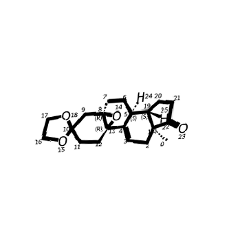 C[C@]12CC=C3[C@@H](CC[C@@]45CC6(CC[C@@]34O5)OCCO6)[C@@H]1CCC2=O